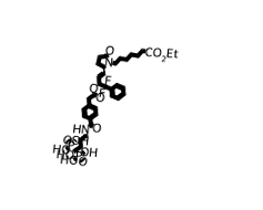 CCOC(=O)CCCCCCN1C(=O)CC[C@@H]1/C=C/[C@@H](OC(=O)Cc1ccc(C(=O)NCCCC(O)(P(=O)(O)O)P(=O)(O)O)cc1)C(F)(F)c1ccccc1